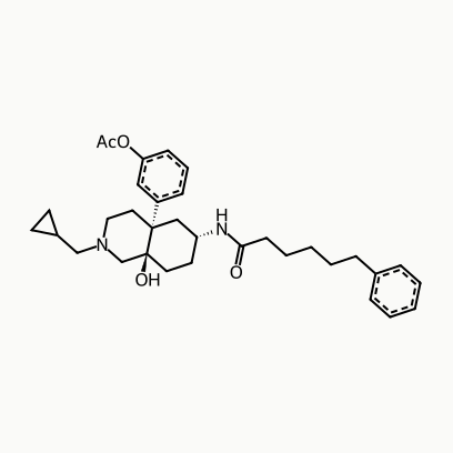 CC(=O)Oc1cccc([C@@]23CCN(CC4CC4)C[C@@]2(O)CC[C@@H](NC(=O)CCCCCc2ccccc2)C3)c1